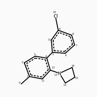 Cc1ccc(-c2cccc(Cl)c2)c(N2CCC2)c1